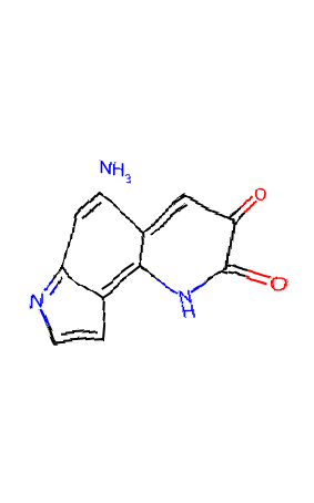 N.O=C1C=c2ccc3c(c2NC1=O)C=CN=3